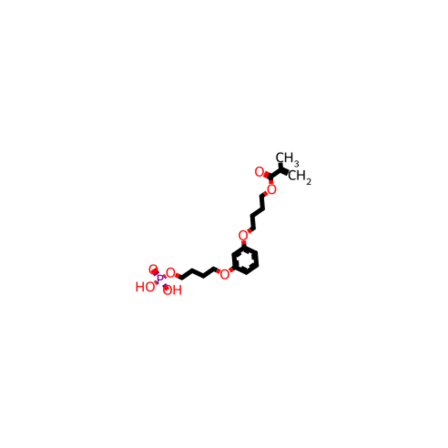 C=C(C)C(=O)OCCCCOc1cccc(OCCCCOP(=O)(O)O)c1